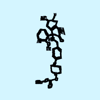 CCOc1ncccc1C1(NCc2ccc(N3CCN(OC(=O)OC(C)(C)C)CC3)cc2)C(=O)Nc2cc(F)c(C#N)cc21